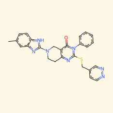 Cc1ccc2[nH]c(N3CCc4nc(SCc5ccnnc5)n(-c5ccccc5)c(=O)c4C3)nc2c1